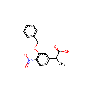 CC(C(=O)O)c1ccc([N+](=O)[O-])c(OCc2ccccc2)c1